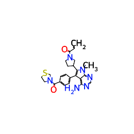 C=CC(=O)N1CCC(c2c(-c3ccc(C(=O)N4CCSC4)cc3)c3c(N)ncnc3n2C)C1